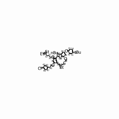 CCCCn1c2nc3c(cc(Oc4ccc(C(C)(C)C)cc4)cc31)OCCCN(CC)Cc1cc-2c(OCCCN(CC)CC)cc1OCCc1ccc(Cl)cc1